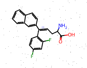 NC(C/C=C(/c1ccc2ccccc2c1)c1ccc(F)cc1F)C(=O)O